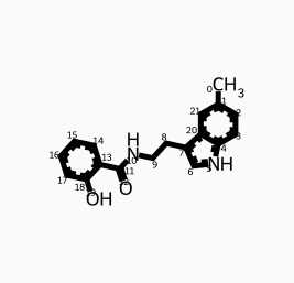 Cc1ccc2[nH]cc(CCNC(=O)c3ccccc3O)c2c1